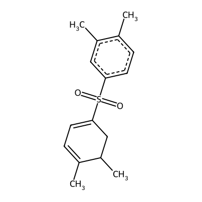 CC1=CC=C(S(=O)(=O)c2ccc(C)c(C)c2)CC1C